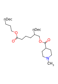 CCCCCCCCCCCCCOC(=O)CCCC(CCCCCCCCCC)COC(=O)C1CCN(C)CC1